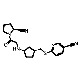 N#Cc1ccc(SC[C@H]2CC[C@@H](NCC(=O)N3CCC[C@H]3C#N)C2)nc1